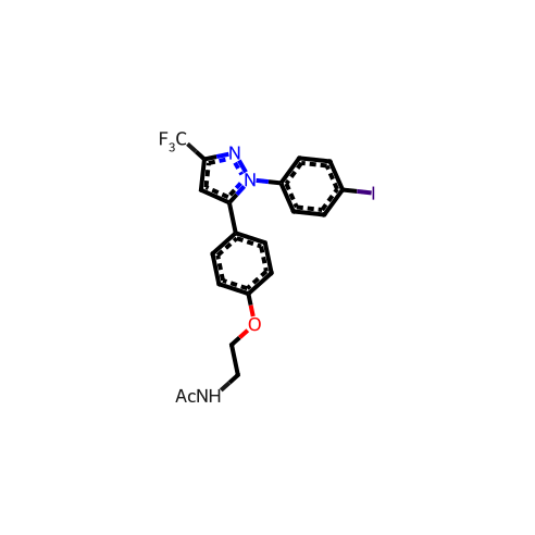 CC(=O)NCCOc1ccc(-c2cc(C(F)(F)F)nn2-c2ccc(I)cc2)cc1